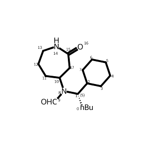 CCCC[C@@H](C1CCCCC1)N(C=O)C1CCCNC(=O)C1